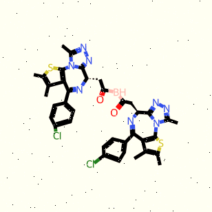 Cc1sc2c(c1C)C(c1ccc(Cl)cc1)=N[C@@H](CC(=O)BC(=O)C[C@@H]1N=C(c3ccc(Cl)cc3)c3c(sc(C)c3C)-n3c(C)nnc31)c1nnc(C)n1-2